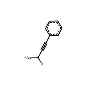 CCCCC(F)C#Cc1ccccc1